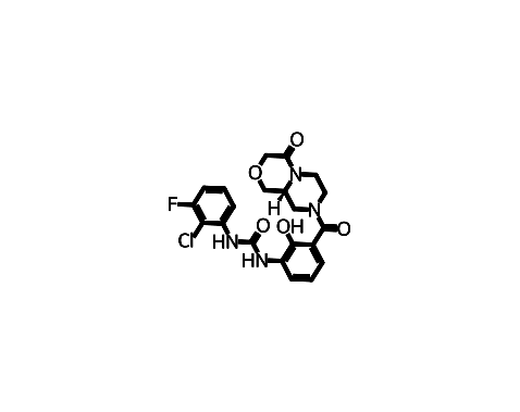 O=C(Nc1cccc(C(=O)N2CCN3C(=O)COC[C@H]3C2)c1O)Nc1cccc(F)c1Cl